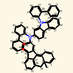 CC12C=CC=CC1=C1c3cc(N(c4ccc5c6ccccc6n(-c6ccccc6-c6ccccc6)c5c4)c4ccccc4-c4ccccc4)ccc3-c3cccc(c31)C2